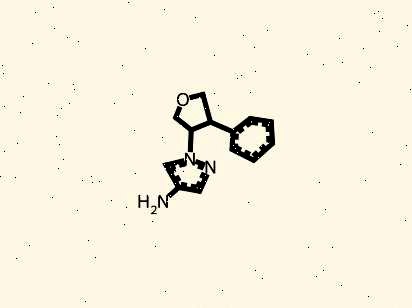 Nc1cnn(C2COCC2c2ccccc2)c1